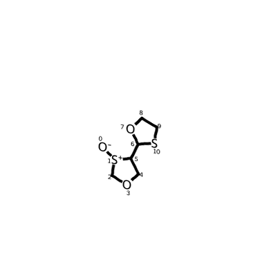 [O-][S+]1COCC1C1OCCS1